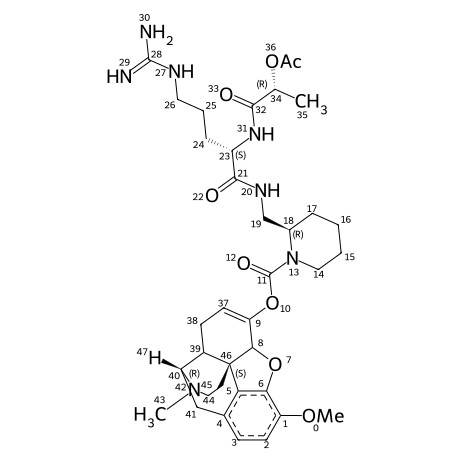 COc1ccc2c3c1OC1C(OC(=O)N4CCCC[C@@H]4CNC(=O)[C@H](CCCNC(=N)N)NC(=O)[C@@H](C)OC(C)=O)=CCC4[C@@H](C2)N(C)CC[C@]314